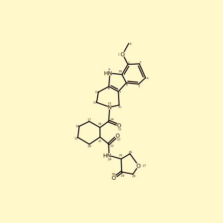 COc1cccc2c3c([nH]c12)CCN(C(=O)C1CCCCC1C(=O)NC1COCC1=O)C3